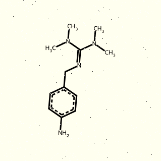 CN(C)C(=NCc1ccc(N)cc1)N(C)C